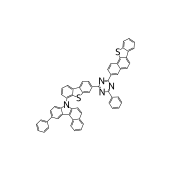 c1ccc(-c2ccc3c(c2)c2c4ccccc4ccc2n3-c2cccc3c2sc2cc(-c4nc(-c5ccccc5)nc(-c5ccc6c(ccc7c8ccccc8sc67)c5)n4)ccc23)cc1